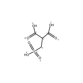 O=C(O)[C](CS(=O)(=O)O)C(=O)O